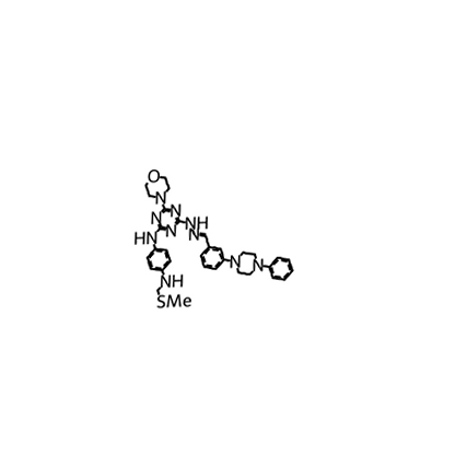 CSCNc1ccc(Nc2nc(N/N=C/c3cccc(N4CCN(c5ccccc5)CC4)c3)nc(N3CCOCC3)n2)cc1